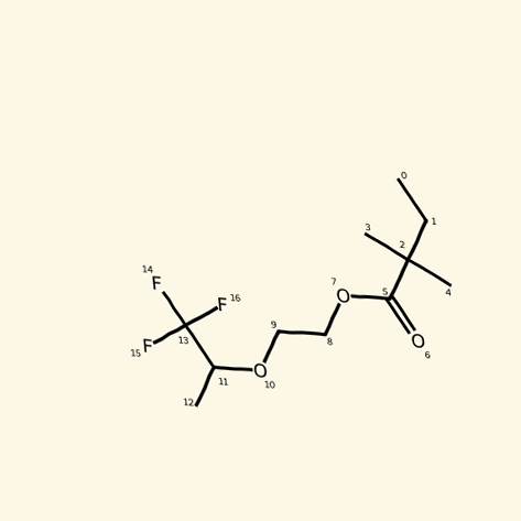 CCC(C)(C)C(=O)OCCOC(C)C(F)(F)F